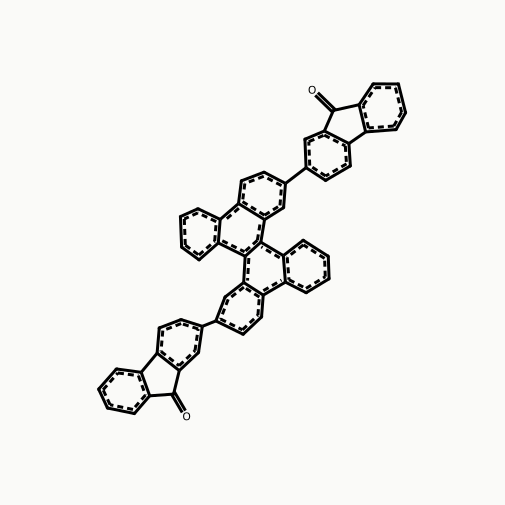 O=C1c2ccccc2-c2ccc(-c3ccc4c5ccccc5c5c6cc(-c7ccc8c(c7)C(=O)c7ccccc7-8)ccc6c6ccccc6c5c4c3)cc21